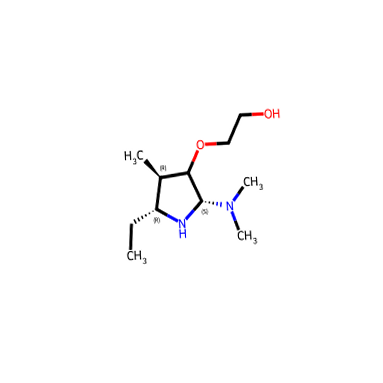 CC[C@H]1N[C@@H](N(C)C)C(OCCO)[C@@H]1C